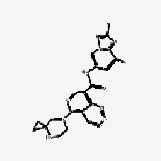 Cc1cn2cc(NC(=O)c3cnc(N4CCNC5(CC5)C4)c4ccnnc34)cc(F)c2n1